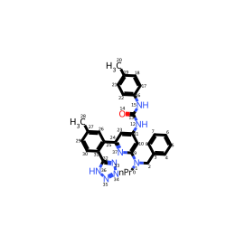 CCCN(Cc1ccccc1)c1cc(NC(=O)Nc2ccc(C)cc2)cc(-c2cc(C)ccc2-c2nnn[nH]2)n1